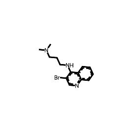 CN(C)CCCNc1c(Br)cnc2ccccc12